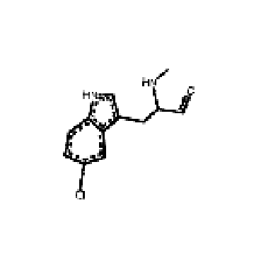 CNC(C=O)Cc1c[nH]c2ccc(Cl)cc12